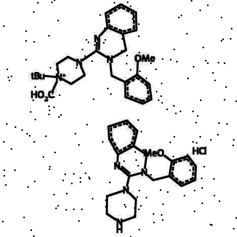 COc1ccccc1CN1Cc2ccccc2N=C1N1CCNCC1.COc1ccccc1CN1Cc2ccccc2N=C1N1CC[N+](C(=O)O)(C(C)(C)C)CC1.Cl